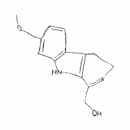 COc1ccc2c3c([nH]c2c1)C(CO)=NCC3